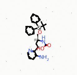 CC(C)(C)[Si](OC[C@H](CCc1ncccc1N)NC(=O)O)(c1ccccc1)c1ccccc1